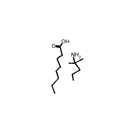 CCCC(C)(C)N.CCCCCCCC(=O)O